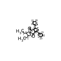 CCC1CC2(CC1CC)C(=O)c1c(-c3cccs3)sc(-c3cccs3)c1C2=O